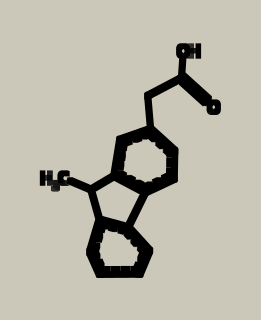 CC1c2ccccc2-c2ccc(CC(=O)O)cc21